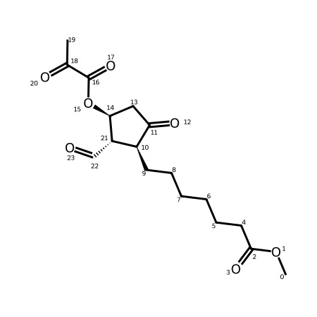 COC(=O)CCCCCC[C@@H]1C(=O)C[C@H](OC(=O)C(C)=O)[C@H]1C=O